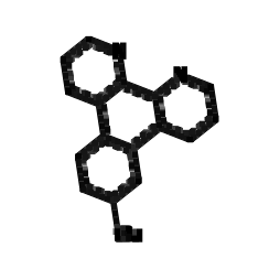 CC(C)(C)c1ccc2c(c1)c1cccnc1c1ncccc21